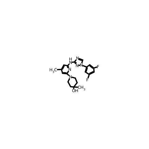 Cc1cc(Nc2ncn(-c3cc(F)cc(F)c3)n2)nc(N2CCC(C)(O)CC2)c1